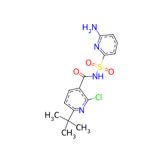 CC(C)(C)c1ccc(C(=O)NS(=O)(=O)c2cccc(N)n2)c(Cl)n1